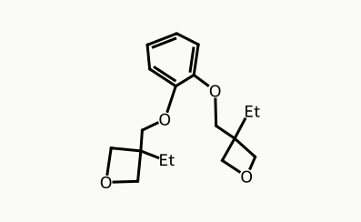 CCC1(COc2ccccc2OCC2(CC)COC2)COC1